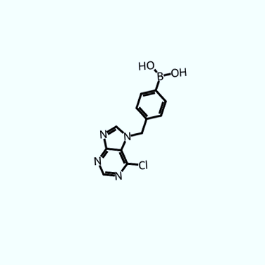 OB(O)c1ccc(Cn2cnc3ncnc(Cl)c32)cc1